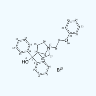 OC(c1ccccc1)(c1ccccc1)C12CC[N+](CCOc3ccccc3)(CC1)C2.[Br-]